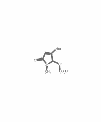 CCOC(=O)OC1C(C(C)(C)C)=CC(=O)N1C